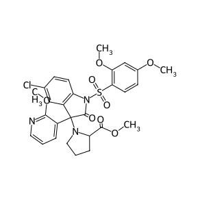 COC(=O)C1CCCN1C1(c2cccnc2OC)C(=O)N(S(=O)(=O)c2ccc(OC)cc2OC)c2ccc(Cl)cc21